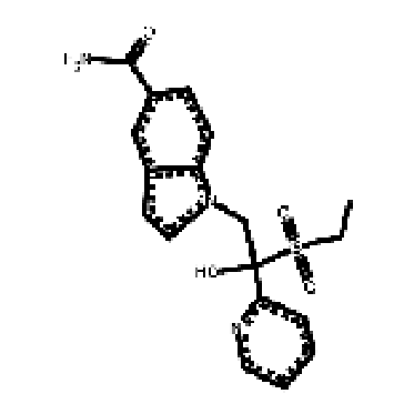 CCS(=O)(=O)C(O)(Cn1ccc2cc(C(N)=O)ccc21)c1ccccn1